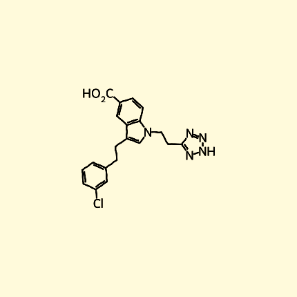 O=C(O)c1ccc2c(c1)c(CCc1cccc(Cl)c1)cn2CCc1nn[nH]n1